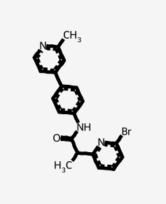 Cc1cc(-c2ccc(NC(=O)C(C)c3cccc(Br)n3)cc2)ccn1